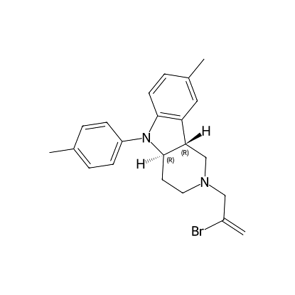 C=C(Br)CN1CC[C@@H]2[C@@H](C1)c1cc(C)ccc1N2c1ccc(C)cc1